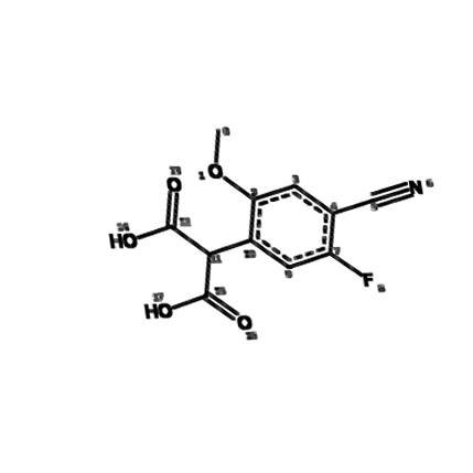 COc1cc(C#N)c(F)cc1C(C(=O)O)C(=O)O